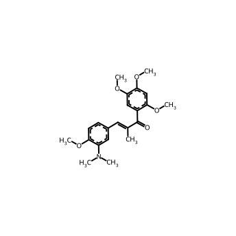 COc1cc(OC)c(C(=O)C(C)=Cc2ccc(OC)c(N(C)C)c2)cc1OC